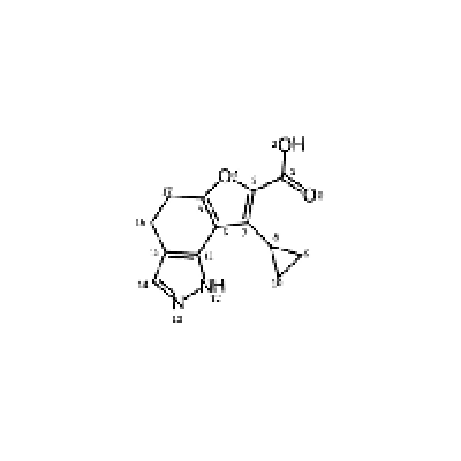 O=C(O)c1oc2c(c1C1CC1)-c1[nH]ncc1CC2